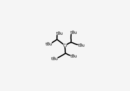 CC(C)(C)[CH]([Cr]([CH](C(C)(C)C)C(C)(C)C)[CH](C(C)(C)C)C(C)(C)C)C(C)(C)C